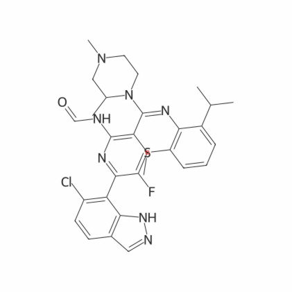 CSc1cccc(C(C)C)c1/N=C(\c1cc(F)c(-c2c(Cl)ccc3cn[nH]c23)nc1NC=O)N1CCN(C)CC1C